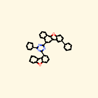 c1ccc(-c2ccc3oc4c5ccccc5c(-c5nc(-c6ccccc6)nc(-c6cccc7oc8ccccc8c67)n5)cc4c3c2)cc1